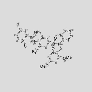 COc1ccc(CN(c2ccncn2)S(=O)(=O)c2ccc(N[C@@H](N)c3cc(F)ccc3F)c(C(F)(F)F)c2)c(OC)c1